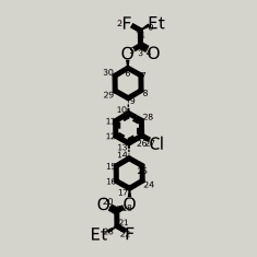 CC[C@H](F)C(=O)O[C@H]1CC[C@H](c2ccc([C@H]3CC[C@H](OC(=O)[C@@H](F)CC)CC3)c(Cl)c2)CC1